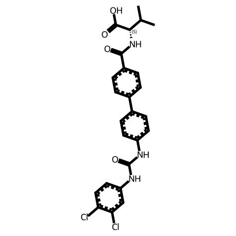 CC(C)[C@H](NC(=O)c1ccc(-c2ccc(NC(=O)Nc3ccc(Cl)c(Cl)c3)cc2)cc1)C(=O)O